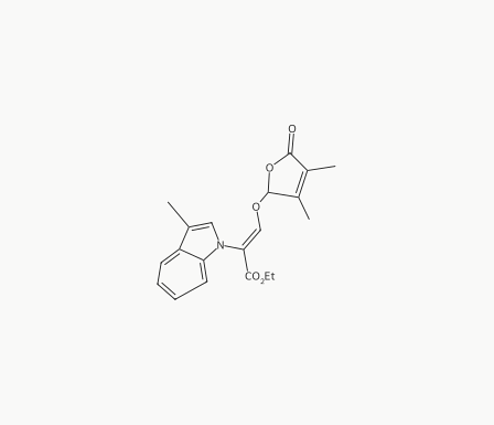 CCOC(=O)/C(=C/OC1OC(=O)C(C)=C1C)n1cc(C)c2ccccc21